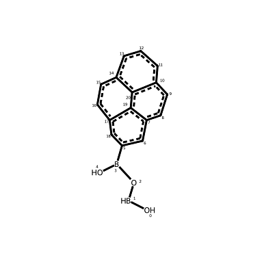 OBOB(O)c1cc2ccc3cccc4ccc(c1)c2c34